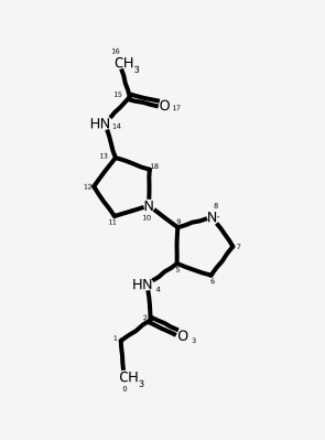 CCC(=O)NC1CC[N]C1N1CCC(NC(C)=O)C1